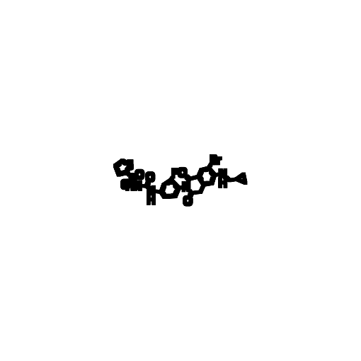 O=C(Nc1ccc(N2C(=O)Cc3cc(NCC4CC4)c(Br)cc3C2=O)c(F)c1)NS(=O)(=O)c1cccs1